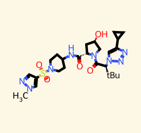 Cn1cc(S(=O)(=O)N2CCC(NC(=O)[C@@H]3C[C@@H](O)CN3C(=O)[C@@H](n3cc(C4CC4)nn3)C(C)(C)C)CC2)cn1